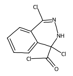 O=C(Cl)C1(Cl)NN=C(Cl)c2ccccc21